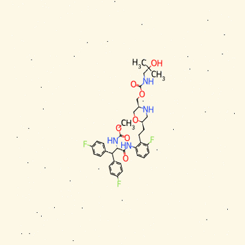 COC(=O)N[C@H](C(=O)Nc1cccc(F)c1CC[C@@H]1CN[C@H](COC(=O)NCC(C)(C)O)CO1)C(c1ccc(F)cc1)c1ccc(F)cc1